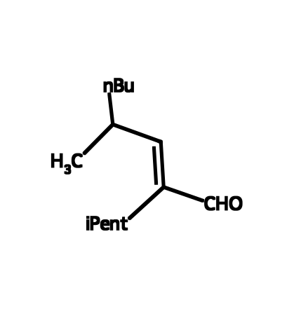 CCCCC(C)C=C(C=O)C(C)CCC